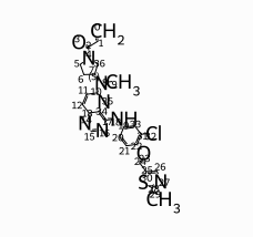 C=CC(=O)N1CC[C@H](N(C)c2ccc3ncnc(Nc4ccc(OCc5cnc(C)s5)c(Cl)c4)c3n2)C1